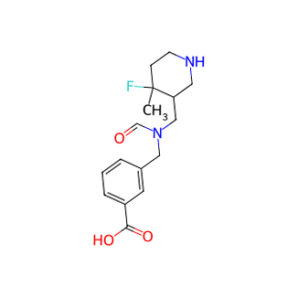 CC1(F)CCNCC1CN(C=O)Cc1cccc(C(=O)O)c1